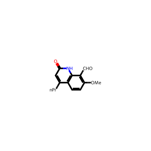 CCCc1cc(=O)[nH]c2c(C=O)c(OC)ccc12